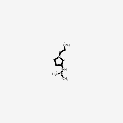 COCCN1CCC(NN(C)C)C1